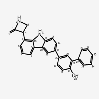 C=C1NCC1c1cccc2c1[nH]c1ccc(-c3ccc(O)c(-c4ccccc4)c3)cc12